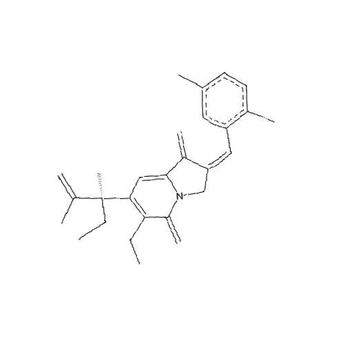 C=C1C2=CC([C@@](C)(CC)C(=C)C)=C(CC)C(=C)N2C/C1=C/c1cc(C)ccc1C